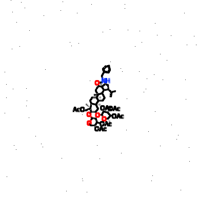 C=C(C)[C@@H]1CC[C@]2(C(=O)NCc3ccccc3)CC[C@]3(C)C(CCC4[C@@]5(C)CC[C@H](O[C@@H]6OC[C@H](OC(C)=O)[C@H](OC(C)=O)[C@H]6O[C@@H]6O[C@@H](C)[C@H](OC(C)=O)[C@@H](OC(C)=O)[C@H]6OC(C)=O)[C@@](C)(COC(C)=O)C5CC[C@]43C)C12